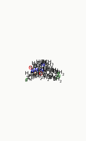 Bc1c(B)c(C(F)(F)F)c(B)c(B)c1-c1c(B)c(B)c(C(B)(B)N(CCN(C(B)(B)C)C(B)(B)C)C(=O)C(B)(B)n2c(SC(B)(B)c3ccc(F)cc3)nc(=O)c3c2CCC3)c(B)c1B